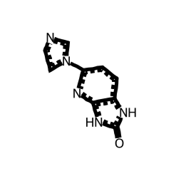 O=c1[nH]c2ccc(-n3ccnc3)nc2[nH]1